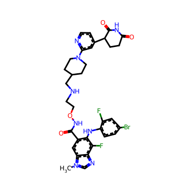 Cn1cnc2c(F)c(Nc3ccc(Br)cc3F)c(C(=O)NOCCNCC3CCN(c4cc(C5CCC(=O)NC5=O)ccn4)CC3)cc21